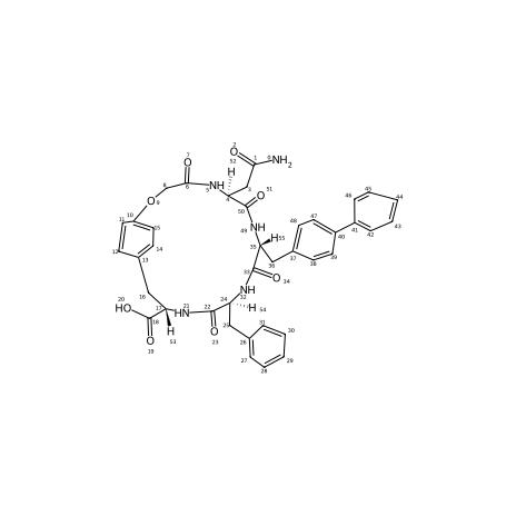 NC(=O)C[C@@H]1NC(=O)COc2ccc(cc2)C[C@@H](C(=O)O)NC(=O)[C@H](Cc2ccccc2)NC(=O)[C@@H](Cc2ccc(-c3ccccc3)cc2)NC1=O